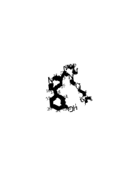 C[Si](C)(C)CCOCn1nnnc1-c1cncc(-c2cccc(O)c2)c1